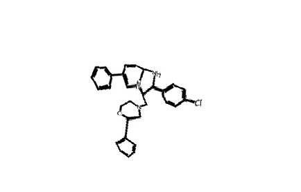 Clc1ccc(C2NC3C=CC(c4ccccc4)=CN3C2CN2CCOC(c3ccccc3)C2)cc1